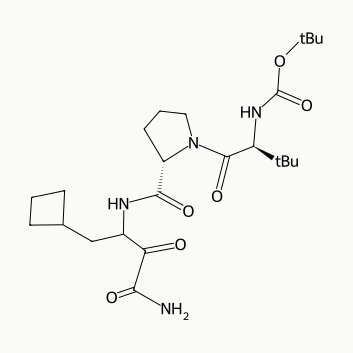 CC(C)(C)OC(=O)N[C@H](C(=O)N1CCC[C@H]1C(=O)NC(CC1CCC1)C(=O)C(N)=O)C(C)(C)C